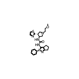 COCCN1CC(NC(=O)Nc2c3c(nn2-c2ccccc2)CCC3)[C@H](c2nccs2)C1